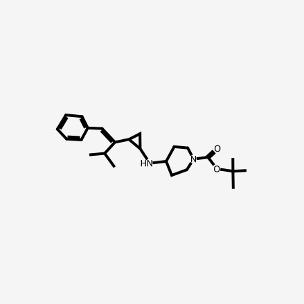 CC(C)/C(=C\c1ccccc1)C1CC1NC1CCN(C(=O)OC(C)(C)C)CC1